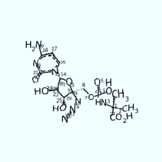 CC(C)(NP(=O)(O)OC[C@@]1(N=[N+]=[N-])O[C@@H](n2ccc(N)nc2=O)[C@H](O)[C@@H]1O)C(=O)O